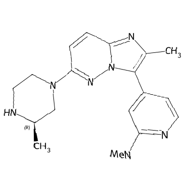 CNc1cc(-c2c(C)nc3ccc(N4CCN[C@H](C)C4)nn23)ccn1